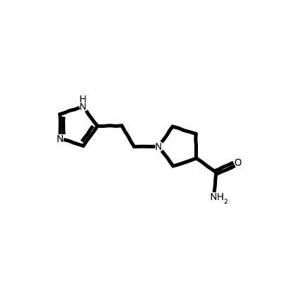 NC(=O)C1CCN(CCc2cnc[nH]2)C1